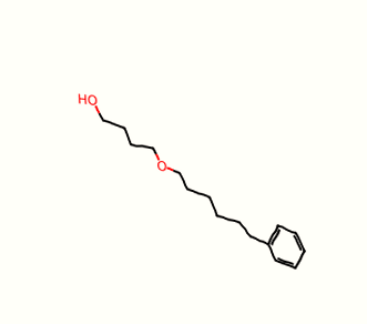 OCCCCOCCCCCCc1ccccc1